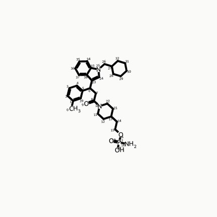 Cc1cccc(C(CC(=O)N2CCC(CCOP(N)(=O)O)CC2)c2cn(CC3CCCCC3)c3ccccc23)c1